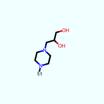 CCN1CCN(CC(O)CO)CC1